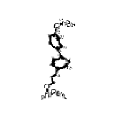 CCCCCOCCCc1ccc(-c2ccc(OCCCC)cc2)nc1